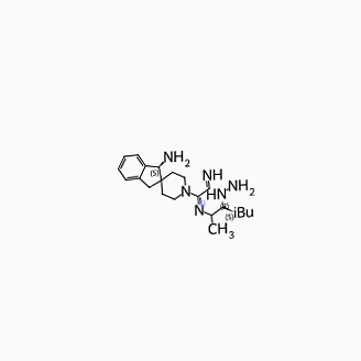 CC[C@H](C)[C@@H](NN)C(C)/N=C(\C=N)N1CCC2(CC1)Cc1ccccc1[C@H]2N